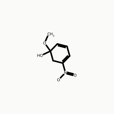 COC1(O)C=CC=C([N+](=O)[O-])C1